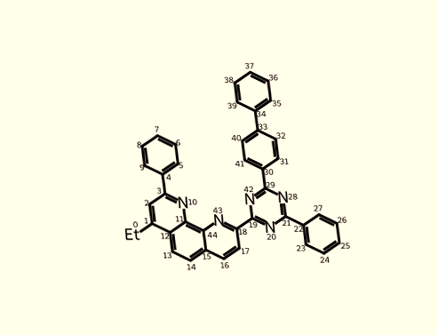 CCc1cc(-c2ccccc2)nc2c1ccc1ccc(-c3nc(-c4ccccc4)nc(-c4ccc(-c5ccccc5)cc4)n3)nc12